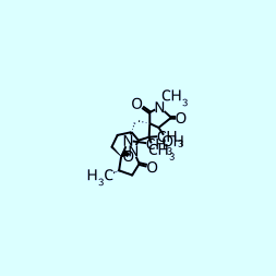 C[C@H]1CC(=O)N2C3C(C)(C)[C@@]4(C[C@]35CC[C@]12C(=O)N5C)C(=O)N(C)C(=O)C4O